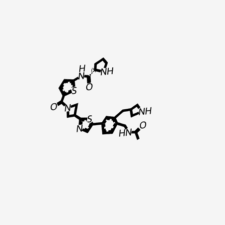 CC(=O)NCc1ccc(-c2cnc(C3CN(C(=O)c4ccc(NC(=O)[C@@H]5CCCN5)s4)C3)s2)cc1CC1CNC1